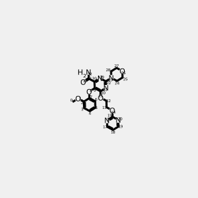 COc1ccccc1Oc1c(OCCOc2ncccn2)nc(N2CCOCC2)nc1C(N)=O